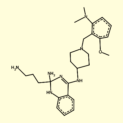 COc1cccc(N(C)C)c1CN1CCC(NC2=NC(N)(CCCN)Nc3ccccc32)CC1